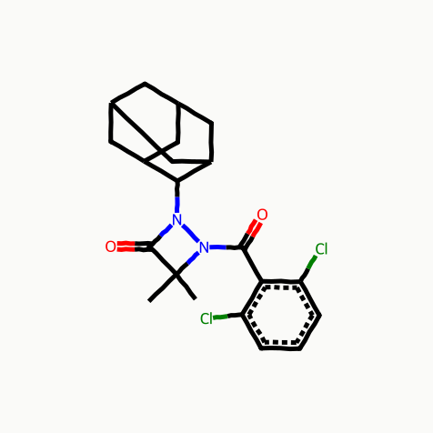 CC1(C)C(=O)N(C2C3CC4CC(C3)CC2C4)N1C(=O)c1c(Cl)cccc1Cl